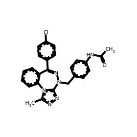 CC(=O)Nc1ccc(CN2N=C(c3ccc(Cl)cc3)c3ccccc3-n3c(C)nnc32)cc1